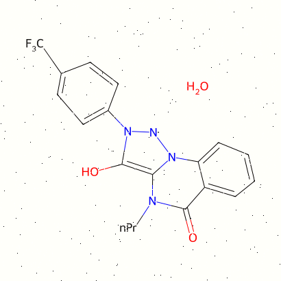 CCCN1C(=O)c2ccccc2N2[N]N(c3ccc(C(F)(F)F)cc3)C(O)=C12.O